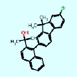 CC(C)(O)c1ccc2ccccc2c1-c1ccc2c(c1)C(C)(C)c1cc(Br)ccc1-2